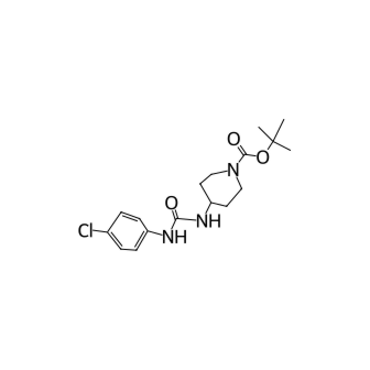 CC(C)(C)OC(=O)N1CCC(NC(=O)Nc2ccc(Cl)cc2)CC1